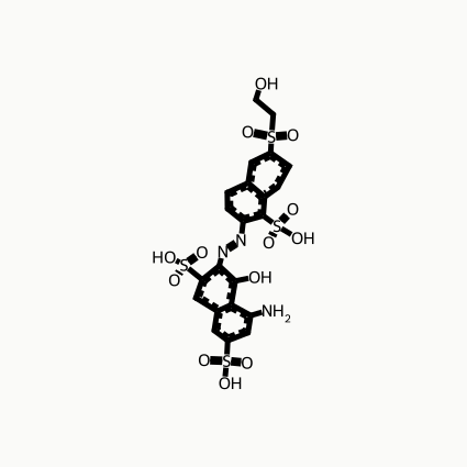 Nc1cc(S(=O)(=O)O)cc2cc(S(=O)(=O)O)c(N=Nc3ccc4cc(S(=O)(=O)CCO)ccc4c3S(=O)(=O)O)c(O)c12